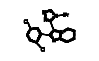 CC(C)n1cnnc1-c1c(-c2cc(Cl)ccc2Cl)nc2ccccn12